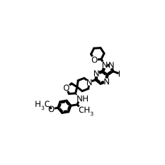 COc1ccc(C(C)N[C@@H]2COCC23CCN(c2cnc4c(I)nn(C5CCCCO5)c4n2)CC3)cc1